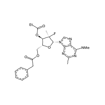 CCC(=O)O[C@@H]1[C@@H](COC(=O)Cc2ccccc2)O[C@@H](n2cnc3c(NC)nc(C)nc32)[C@]1(C)F